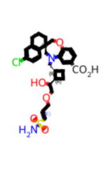 NS(=O)(=O)/C=C/COCC(O)[C@@H]1CC[C@H]1CN1C[C@@]2(CCCc3cc(Cl)ccc32)COc2ccc(C(=O)O)cc21